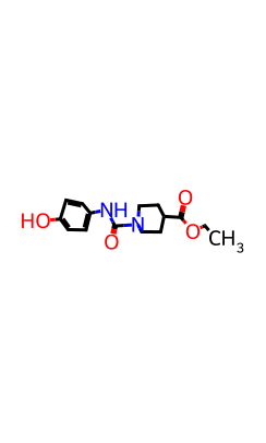 CCOC(=O)C1CCN(C(=O)Nc2ccc(O)cc2)CC1